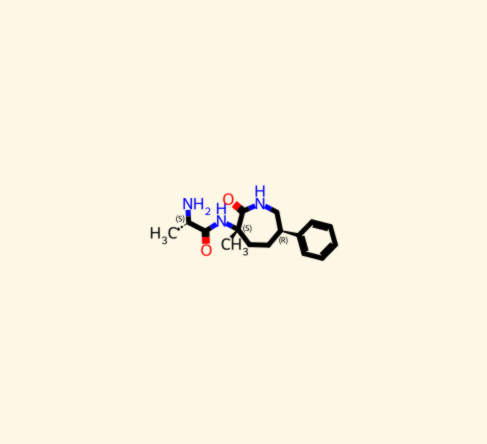 C[C@H](N)C(=O)N[C@@]1(C)CC[C@H](c2ccccc2)CNC1=O